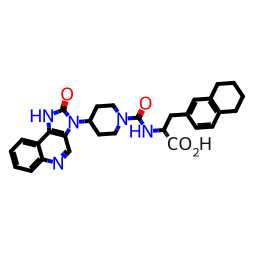 O=C(O)C(Cc1ccc2c(c1)CCCC2)NC(=O)N1CCC(n2c(=O)[nH]c3c4ccccc4ncc32)CC1